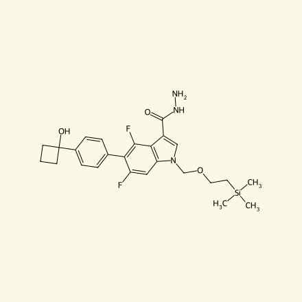 C[Si](C)(C)CCOCn1cc(C(=O)NN)c2c(F)c(-c3ccc(C4(O)CCC4)cc3)c(F)cc21